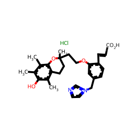 Cc1c(C)c2c(c(C)c1O)CCC(C)(CCOc1cc(Cn3ccnc3)ccc1/C=C/C(=O)O)O2.Cl